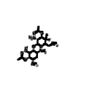 CC(=O)O[C@@H]1[C@@H](O)[C@H](O[C@H]2O[C@H](CN)C(F)(F)[C@H](OC(C)=O)[C@H]2N)[C@@H](N)C[C@H]1N